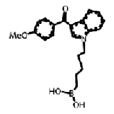 COc1ccc(C(=O)c2cn(CCCCCB(O)O)c3ccccc23)cc1